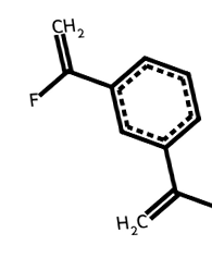 C=C(F)c1cccc(C(=C)F)c1